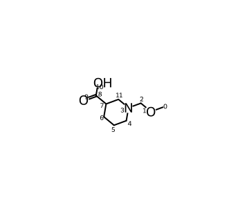 COCN1CCCC(C(=O)O)C1